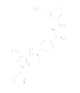 COc1cccc(NC(=O)C(N)c2ccc(C(=O)Nc3nn(-c4ccccc4)cc3N)cc2)c1